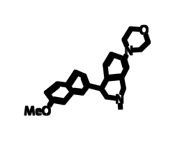 COc1ccc2ccc(C3CN(C)Cc4cc(N5CCOCC5)ccc43)cc2c1